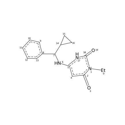 CCn1c(=O)cc(NC(c2ccccc2)C2CC2)[nH]c1=O